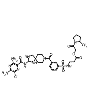 Nc1nc(N)c(C(=O)NC2NCC3(CCN(C(=O)c4cccc(S(=O)(=O)NCCC(=O)OCC(=O)N5CCCC5C(F)(F)F)c4)CC3)N2)nc1Cl